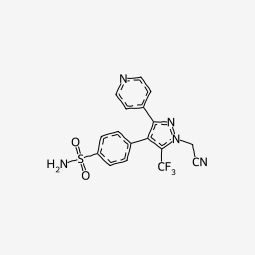 N#CCn1nc(-c2ccncc2)c(-c2ccc(S(N)(=O)=O)cc2)c1C(F)(F)F